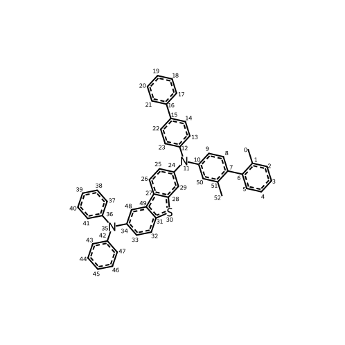 Cc1ccccc1-c1ccc(N(c2ccc(-c3ccccc3)cc2)c2ccc3c(c2)sc2ccc(N(c4ccccc4)c4ccccc4)cc23)cc1C